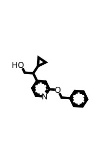 OCC(c1ccnc(OCc2ccccc2)c1)C1CC1